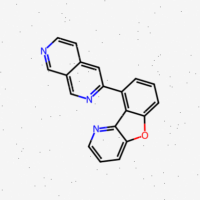 c1cnc2c(c1)oc1cccc(-c3cc4ccncc4cn3)c12